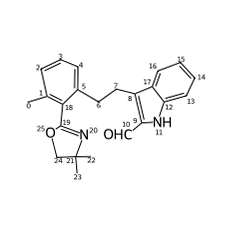 Cc1cccc(CCc2c(C=O)[nH]c3ccccc23)c1C1=NC(C)(C)CO1